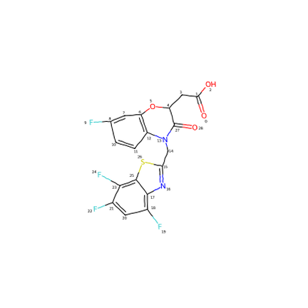 O=C(O)CC1Oc2cc(F)ccc2N(Cc2nc3c(F)cc(F)c(F)c3s2)C1=O